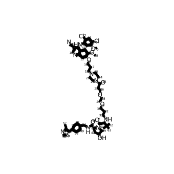 COc1cc(Nc2c(C#N)cnc3cc(OCCCN4CCN(C(=O)CCOCCOCCCN[C@H](C(=O)N5C[C@H](O)C[C@H]5C(=O)NCc5ccc(-c6scnc6C)cc5)C(C)(C)C)CC4)c(OC)cc23)c(Cl)cc1Cl